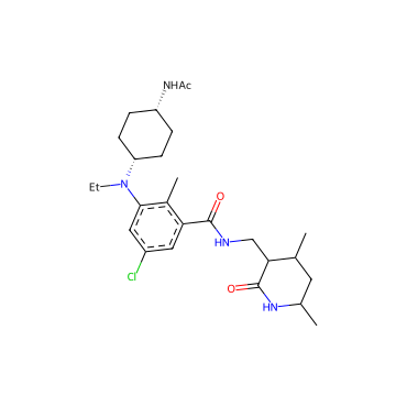 CCN(c1cc(Cl)cc(C(=O)NCC2C(=O)NC(C)CC2C)c1C)[C@H]1CC[C@@H](NC(C)=O)CC1